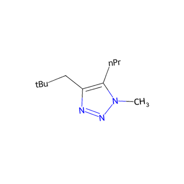 CCCc1c(CC(C)(C)C)nnn1C